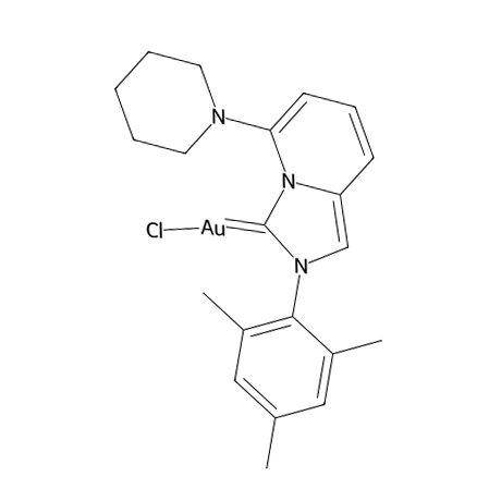 Cc1cc(C)c(-n2cc3cccc(N4CCCCC4)n3[c]2=[Au][Cl])c(C)c1